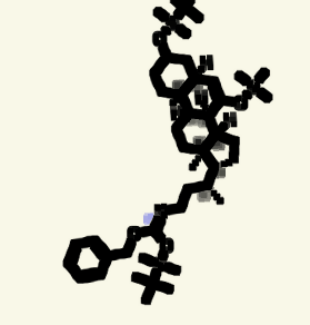 C[C@H](CC/N=C(/OCc1ccccc1)O[Si](C)(C)C(C)(C)C)[C@H]1CC[C@H]2[C@@H]3C(O[Si](C)(C)C)=C[C@@H]4CC(O[Si](C)(C)C(C)(C)C)CC[C@]4(C)[C@H]3CC[C@]12C